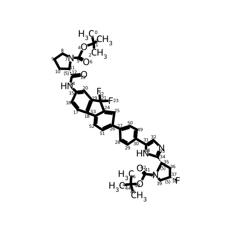 CC(C)(C)OC(=O)N1CCC[C@H]1C(=O)Nc1ccc2c(c1)C(F)(F)c1cc(-c3ccc(-c4cnc([C@@H]5C[C@H](F)CN5C(=O)OC(C)(C)C)[nH]4)cc3)ccc1-2